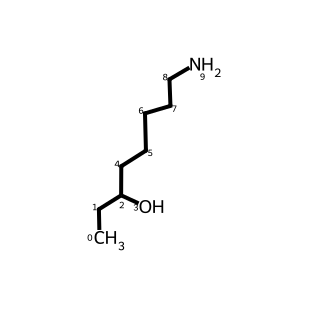 CCC(O)CCCCCN